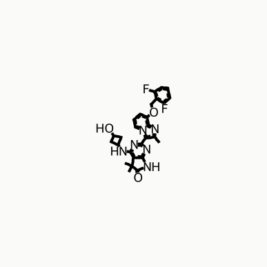 Cc1nc2c(OCc3c(F)cccc3F)cccn2c1-c1nc2c(c(NC3CC(O)C3)n1)C(C)(C)C(=O)N2